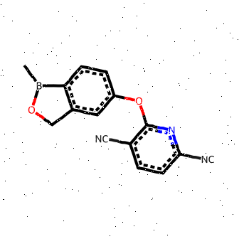 [C-]#[N+]c1ccc(C#N)c(Oc2ccc3c(c2)COB3C)n1